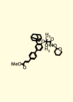 COC(=O)C=Cc1ccc(-c2ccc(OC(C)(C)C(=O)NOC3CCCCO3)c(C34CC5CC(CC(C5)C3)C4)c2)cc1